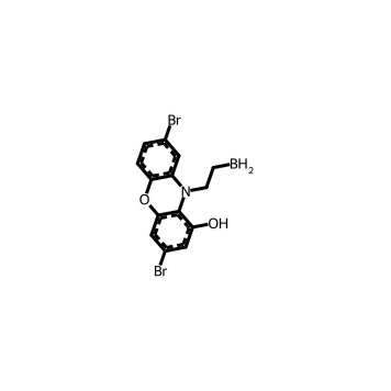 BCCN1c2cc(Br)ccc2Oc2cc(Br)cc(O)c21